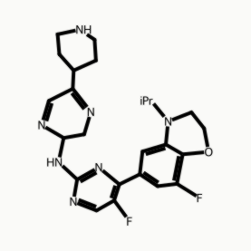 CC(C)N1CCOc2c(F)cc(-c3nc(NC4CN=C(C5CCNCC5)C=N4)ncc3F)cc21